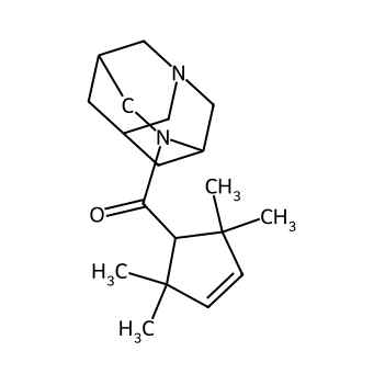 CC1(C)C=CC(C)(C)C1C(=O)N1CC2CC3CC1CN(C3)C2